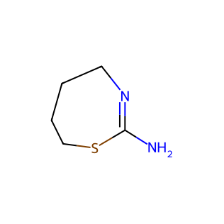 NC1=NCCCCS1